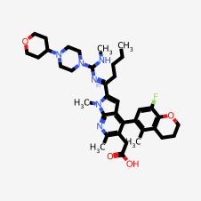 CCCC/C(=N\C(NC)N1CCN(C2CCOCC2)CC1)c1cc2c(-c3cc(F)c4c(c3C)CCCO4)c(CC(=O)O)c(C)nc2n1C